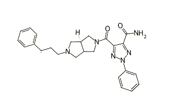 NC(=O)c1nn(-c2ccccc2)nc1C(=O)N1CC2CN(CC[CH]c3ccccc3)C[C@H]2C1